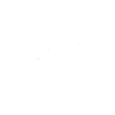 CC(COS(C)(=O)=O)(Cc1ccccc1)c1ccnc2c(-c3ccc(Cl)cc3)cnn12